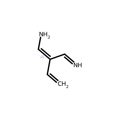 C=C/C(C=N)=C/N